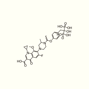 COc1c(N2CCN(C(=S)Oc3ccc(CC(O)(P(=O)(O)O)P(=O)(O)O)cc3)C(C)C2)c(F)cc2c(=O)c(C(=O)O)cn(C3CC3)c12